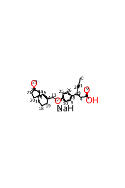 CC#C[C@@H](CC(=O)O)c1ccc(OCC2=C[C@]3(CCC2)CCC(=O)C3)cc1.[NaH]